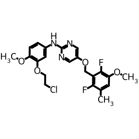 COc1ccc(Nc2ncc(OCc3c(F)c(C)cc(OC)c3F)cn2)cc1OCCCl